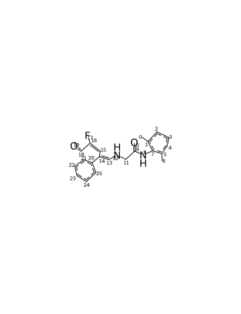 Cc1cccc(C)c1NC(=O)CN/C=C(\C=C(\F)C=O)c1ccccc1